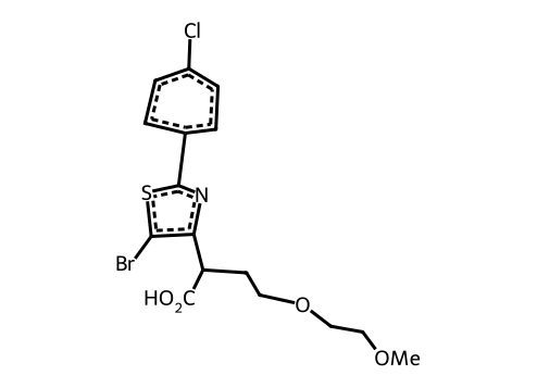 COCCOCCC(C(=O)O)c1nc(-c2ccc(Cl)cc2)sc1Br